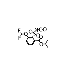 CC(C)OC(=O)c1cccc(OC(F)F)c1S(=O)(=O)N=C=O